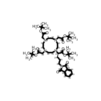 CC(C)(C)OC(=O)CN1CCN(CC(=O)OC(C)(C)C)CCN([C@H](CCCN2C(=O)c3ccccc3C2=O)C(=O)OC(C)(C)C)CCN(CC(=O)OC(C)(C)C)CC1